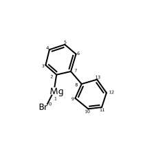 [Br][Mg][c]1ccccc1-c1ccccc1